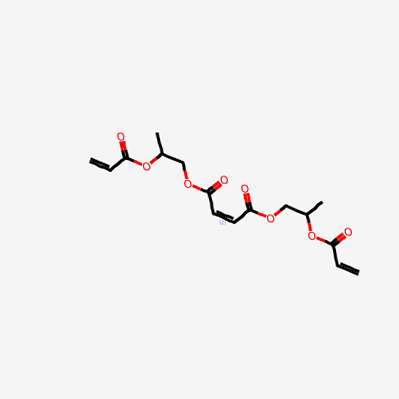 C=CC(=O)OC(C)COC(=O)/C=C\C(=O)OCC(C)OC(=O)C=C